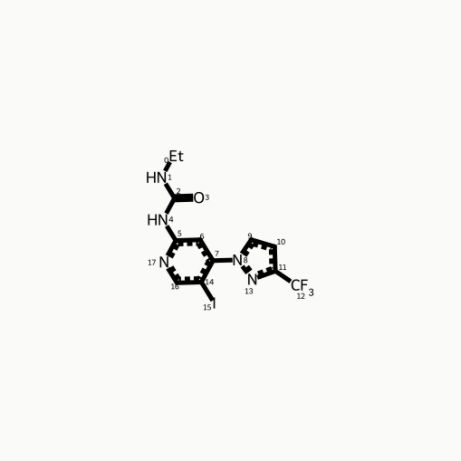 CCNC(=O)Nc1cc(-n2ccc(C(F)(F)F)n2)c(I)cn1